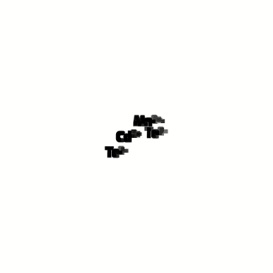 [Cd+2].[Mn+2].[Te-2].[Te-2]